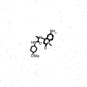 COC1CCC(NC(=O)C(C)Nc2cc(=O)n(C)c3ccc(N)cc23)CC1